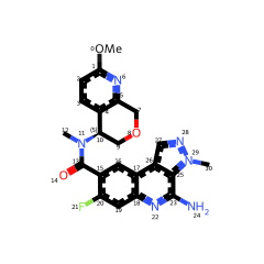 COc1ccc2c(n1)COC[C@H]2N(C)C(=O)c1cc2c(cc1F)nc(N)c1c2cnn1C